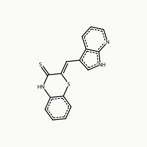 S=C1Nc2ccccc2SC1=Cc1c[nH]c2ncccc12